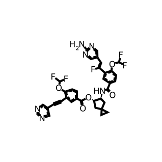 Nc1ncc(/C=C(\F)c2cc(C(=O)N[C@H]3CC4(CC4)C[C@@H]3OC(=O)c3ccc(OC(F)F)c(C#Cc4cncnc4)c3)ccc2OC(F)F)cn1